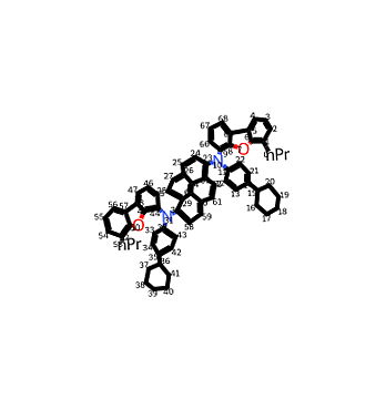 CCCc1cccc2c1oc1c(N(c3ccc(C4CCCCC4)cc3)c3ccc4ccc5c(N(c6ccc(C7CCCCC7)cc6)c6cccc7c6oc6c(CCC)cccc67)ccc6ccc3c4c65)cccc12